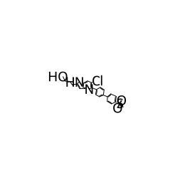 CS(=O)(=O)c1ccc(-c2ccc(-c3nc4cc(CCCO)[nH]c4cc3Cl)cc2)cc1